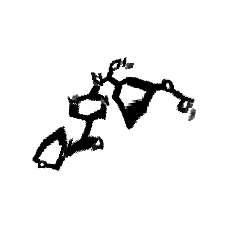 CC(Nc1ncc(C(=O)N2CCCOC2)cn1)c1cccc(OC(F)(F)F)c1